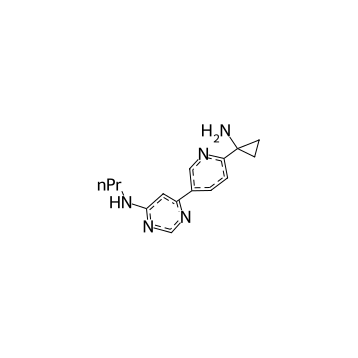 CCCNc1cc(-c2ccc(C3(N)CC3)nc2)ncn1